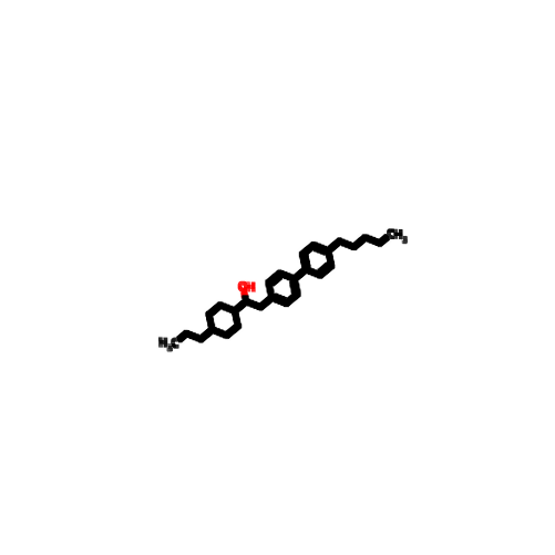 CCCCCc1ccc(-c2ccc(CC(O)C3CCC(CCC)CC3)cc2)cc1